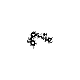 OC(CNCc1ccsc1)COc1cccc(-c2noc3cc(F)ccc23)c1